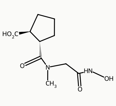 CN(CC(=O)NO)C(=O)[C@H]1CCC[C@@H]1C(=O)O